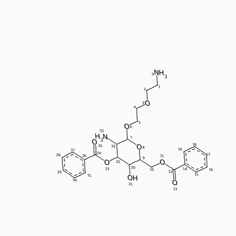 NCCOCCOC1OC(COC(=O)c2ccccc2)C(O)C(OC(=O)c2ccccc2)C1N